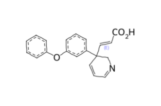 O=C(O)/C=C/C1(c2cccc(Oc3ccccc3)c2)C=CC=NC1